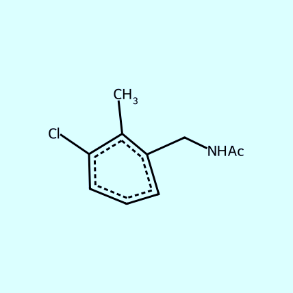 CC(=O)NCc1cccc(Cl)c1C